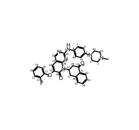 CN1CCN(c2ccc(Nc3ncc4cc(Oc5ccccc5F)c(=O)n(C5CC(=O)c6ccccc6C5)c4n3)cc2)CC1